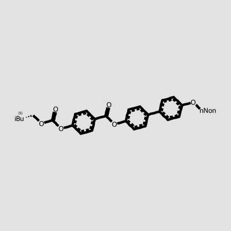 CCCCCCCCCOc1ccc(-c2ccc(OC(=O)c3ccc(OC(=O)OC[C@@H](C)CC)cc3)cc2)cc1